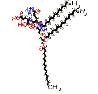 CCCCCCCCCCCCCCCC(=O)OC[C@H](CSCC(NC(=O)CCCCCCCCCCCCC)C(=O)N[C@H](CCC(N)=O)C(=O)N[C@H](CCC(=O)O)C(=O)O)OC(=O)CCCCCCCCCCCCCCC